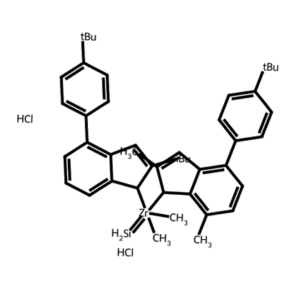 CCC(C)C1=Cc2c(-c3ccc(C(C)(C)C)cc3)cccc2[CH]1[Zr]([CH3])([CH3])(=[SiH2])[CH]1C(C)=Cc2c(-c3ccc(C(C)(C)C)cc3)ccc(C)c21.Cl.Cl